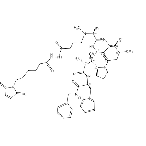 CC[C@H](C)[C@@H]([C@@H](CC(=O)N1CCC[C@H]1[C@H](OC)[C@@H](C)C(=O)N[C@@H](Cc1ccccc1)C(=O)N(C)Cc1ccccc1)OC)N(C)C(=O)[C@@H](NC(=O)[C@H](C(C)C)N(C)CCCC(=O)NNC(=O)CCCCCN1C(=O)C=CC1=O)C(C)C